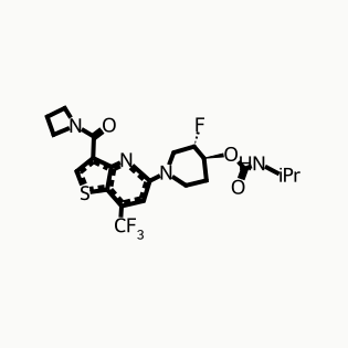 CC(C)NC(=O)O[C@H]1CCN(c2cc(C(F)(F)F)c3scc(C(=O)N4CCC4)c3n2)C[C@@H]1F